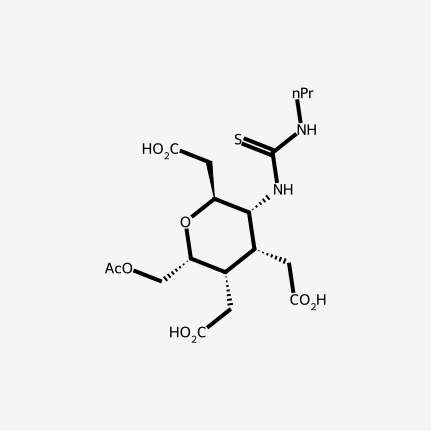 CCCNC(=S)N[C@@H]1[C@H](CC(=O)O)[C@H](CC(=O)O)[C@H](COC(C)=O)O[C@H]1CC(=O)O